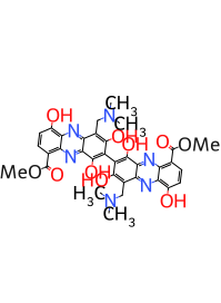 COC(=O)c1ccc(O)c2nc3c(CN(C)C)c(O)c(-c4c(O)c(CN(C)C)c5nc6c(O)ccc(C(=O)OC)c6nc5c4O)c(O)c3nc12